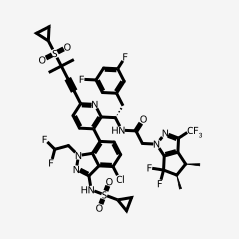 C[C@@H]1c2c(C(F)(F)F)nn(CC(=O)N[C@@H](Cc3cc(F)cc(F)c3)c3nc(C#CC(C)(C)S(=O)(=O)C4CC4)ccc3-c3ccc(Cl)c4c(NS(=O)(=O)C5CC5)nn(CC(F)F)c34)c2C(F)(F)[C@@H]1C